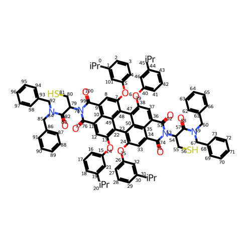 CC(C)c1cccc(Oc2cc3c4c(cc(Oc5cccc(C(C)C)c5)c5c6c(Oc7cccc(C(C)C)c7)cc7c8c(cc(Oc9cccc(C(C)C)c9)c(c2c45)c86)C(=O)N(C(CS)C(=O)N(Cc2ccccc2)Cc2ccccc2)C7=O)C(=O)N(C(CS)C(=O)N(Cc2ccccc2)Cc2ccccc2)C3=O)c1